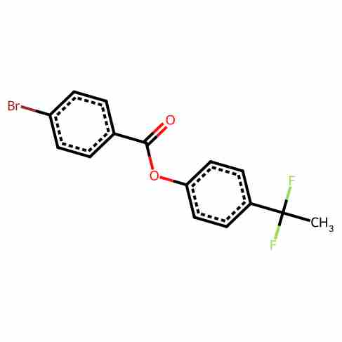 CC(F)(F)c1ccc(OC(=O)c2ccc(Br)cc2)cc1